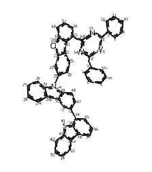 c1ccc(-c2nc(-c3ccccc3)nc(-c3cccc4oc5cc(-n6c7ccccc7c7cc(-c8cccc9c8sc8ccccc89)ccc76)ccc5c34)n2)cc1